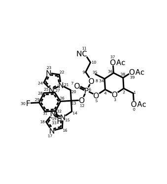 CC(=O)OCC1OC(OP(=O)(OCCC#N)OC(Cn2cncn2)(Cn2cncn2)c2ccc(F)cc2F)C(C)C(OC(C)=O)C1OC(C)=O